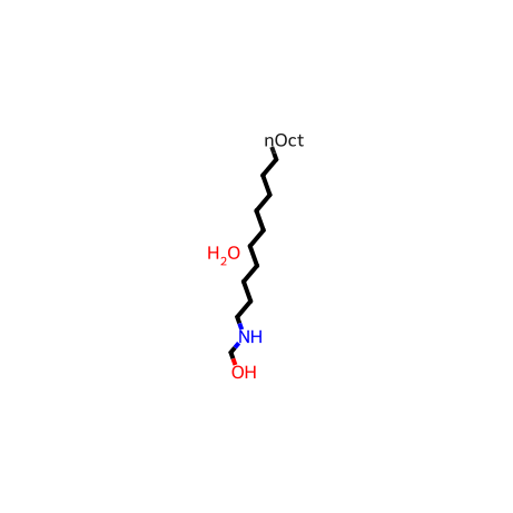 CCCCCCCCCCCCCCCCCCNCO.O